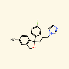 N#Cc1ccc2c(c1)COC2(CCCn1ccnc1)c1ccc(F)cc1